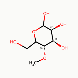 CO[C@@H]1C(CO)OC(O)[C@@H](O)[C@H]1O